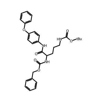 CC(C)(C)OC(=O)NCCCC(NC(=O)OCc1ccccc1)C(=O)Nc1ccc(Oc2ccccc2)cc1